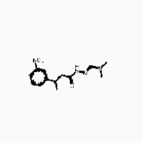 CC(CC(=O)NN=CN(C)C)c1cccc([N+](=O)[O-])c1